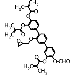 C=C(C)C(=O)Oc1cc(-c2ccc(-c3ccc(OC(=O)C(=C)C)c(OC(=O)C(=C)C)c3)c(OCC3CO3)c2)ccc1OC=O